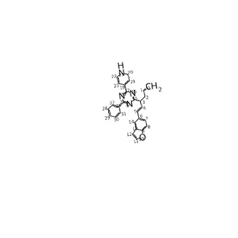 C=CCC(/C=C/c1ccc2occc2c1)c1nc(C2=CCNC=C2)nc(-c2ccccc2)n1